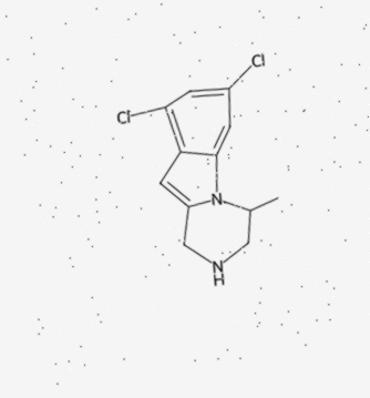 CC1CNCc2cc3c(Cl)cc(Cl)cc3n21